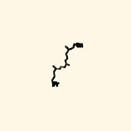 CC(C)CCCC(C)CCCC(C)CCCC(C)C=CO